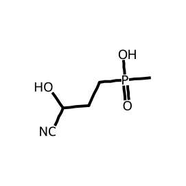 CP(=O)(O)CCC(O)C#N